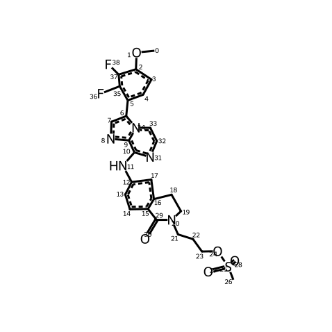 COc1ccc(-c2cnc3c(Nc4ccc5c(c4)CCN(CCCOS(C)(=O)=O)C5=O)nccn23)c(F)c1F